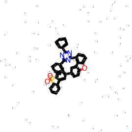 O=S1(=O)c2ccccc2-c2cc(-c3ccc4oc5cccc(-c6nc(-c7ccccc7)nc(-c7ccccc7)n6)c5c4c3)ccc21